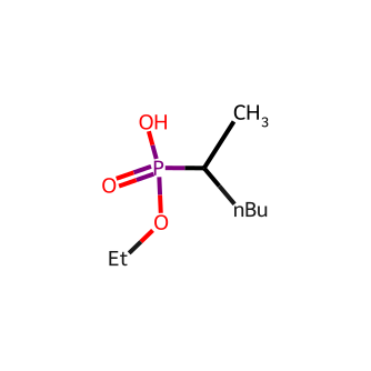 CCCCC(C)P(=O)(O)OCC